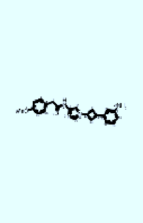 COc1ccc(CC(=O)Nc2cn(C3CC(c4cccc(N)c4)C3)cn2)cc1